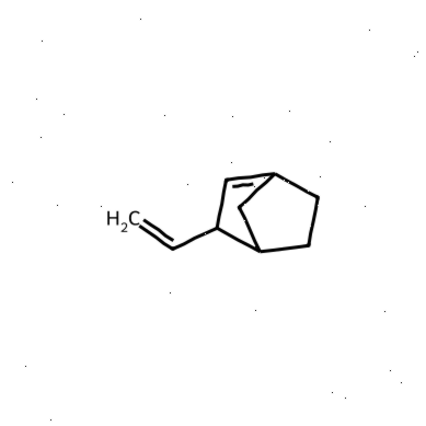 C=CC1C=C2CCC1C2